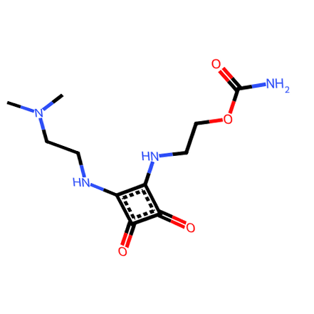 CN(C)CCNc1c(NCCOC(N)=O)c(=O)c1=O